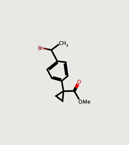 COC(=O)C1(c2ccc(C(C)Br)cc2)CC1